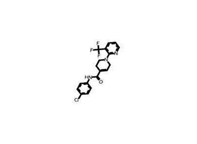 O=C(Nc1ccc(Cl)cc1)C1=CCN(c2ncccc2C(F)(F)F)CC1